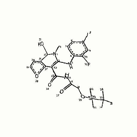 CN1C(Nc2ccc(I)cc2F)=C(C(=O)NC(=O)CO[Si](C)(C)C(C)(C)C)c2occc2C1O